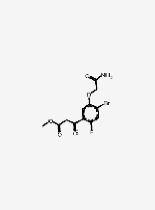 COC(=O)CC(=O)c1cc(OCC(N)=O)c(Br)cc1F